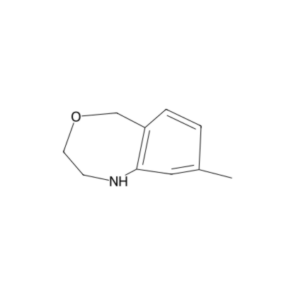 Cc1ccc2c(c1)NCCOC2